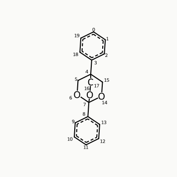 c1ccc(C23COC(c4ccccc4)(OC2)OC3)cc1